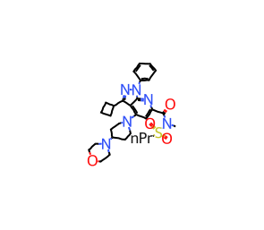 CCCS(=O)(=O)N(C)C(=O)c1cc(N2CCC(N3CCOCC3)CC2)c2c(C3CCC3)nn(-c3ccccc3)c2n1